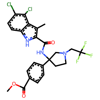 COC(=O)c1ccc(C2(NC(=O)c3[nH]c4ccc(Cl)c(Cl)c4c3C)CCN(CC(F)(F)F)C2)cc1